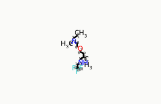 CCCN(C)CCOCCC(C)CNCC(F)(F)F